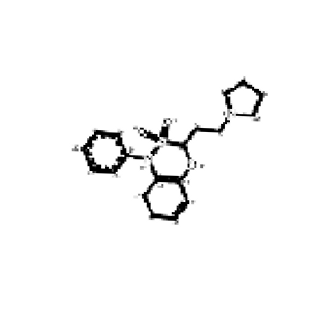 O=S1(=O)C(CCN2CCCC2)OC2=C(CCC=C2)N1c1ccccc1